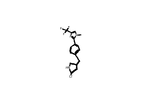 Cn1cc(C(F)(F)F)nc1-c1ccc(CC2C=C(Cl)NC2)cc1